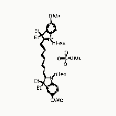 CCCCCCN1C(=CC=CC=CC=CC2=[N+](CCCCCC)c3ccc(OC)cc3C2(CC)CC)C(CC)(CC)c2cc(OC)ccc21.COS(=O)(=O)[O-]